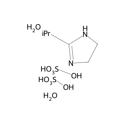 CC(C)C1=NCCN1.O.O.O=S(=O)(O)O.O=S(=O)(O)O